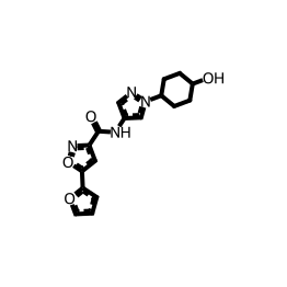 O=C(Nc1cnn(C2CCC(O)CC2)c1)c1cc(-c2ccco2)on1